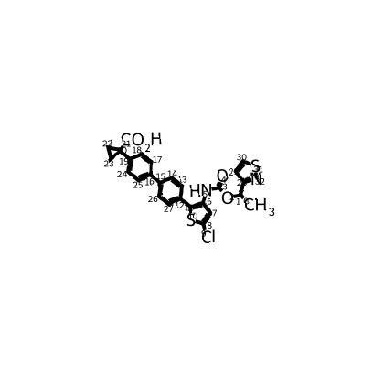 CC(OC(=O)Nc1cc(Cl)sc1-c1ccc(-c2ccc(C3(C(=O)O)CC3)cc2)cc1)c1ccsn1